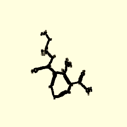 O=C(O)c1cccc(C(=O)COCS)c1O